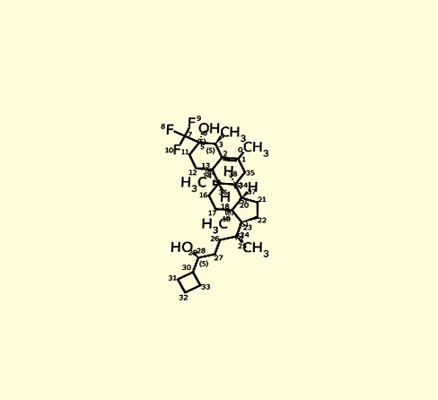 CC1=C2[C@H](C)[C@](O)(C(F)(F)F)CC[C@]2(C)[C@H]2CC[C@@]3(C)[C@@H](CC[C@H]3[C@@H](C)CC[C@H](O)C3CCC3)[C@@H]2C1